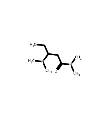 CCC(CC(=O)N(C)C)N(C)C